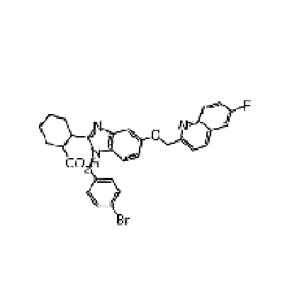 O=C(O)C1CCCCC1c1nc2cc(OCc3ccc4cc(F)ccc4n3)ccc2n1Cc1ccc(Br)cc1